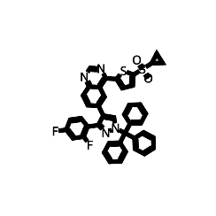 O=S(=O)(c1ccc(-c2ncnc3ccc(-c4cn(C(c5ccccc5)(c5ccccc5)c5ccccc5)nc4-c4ccc(F)cc4F)cc23)s1)C1CC1